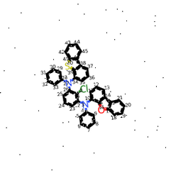 Clc1c(N(c2ccccc2)c2cccc3c2oc2ccccc23)cccc1N(c1ccccc1)c1cccc2c1sc1ccccc12